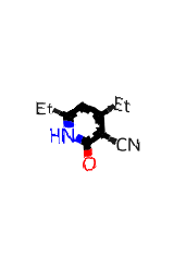 CCc1cc(CC)c(C#N)c(=O)[nH]1